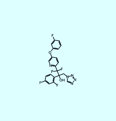 OC(Cn1cnnn1)(c1ccc(F)cc1F)C(F)(F)c1ccc(Oc2cccc(F)c2)cn1